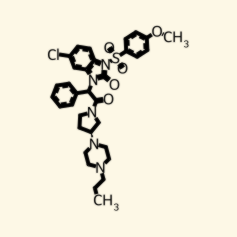 CCCN1CCN([C@@H]2CCN(C(=O)C(c3ccccc3)n3c(=O)n(S(=O)(=O)c4ccc(OC)cc4)c4ccc(Cl)cc43)C2)CC1